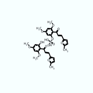 COc1cc(O)c(C(=O)C=Cc2ccc(C)o2)c(OC)c1.COc1cc(OC)c(C(=O)C=Cc2ccc(C)o2)c(OP(=O)(O)O)c1